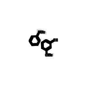 COc1cccc(S)c1.COc1ccccc1